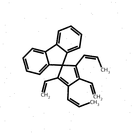 C=CC1=C(/C=C\C)C2(C(C=C)=C1/C=C\C)c1ccccc1-c1ccccc12